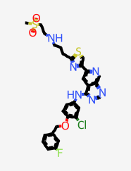 CS(=O)(=O)CCNCCCc1nc(-c2cc3c(Nc4ccc(OCc5cccc(F)c5)c(Cl)c4)ncnc3cn2)cs1